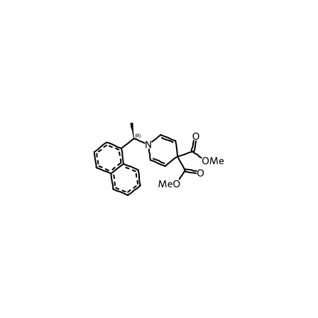 COC(=O)C1(C(=O)OC)C=CN([C@H](C)c2cccc3ccccc23)C=C1